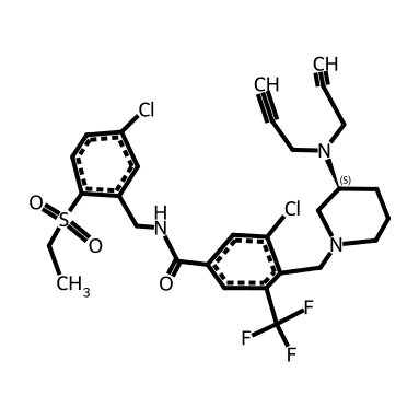 C#CCN(CC#C)[C@H]1CCCN(Cc2c(Cl)cc(C(=O)NCc3cc(Cl)ccc3S(=O)(=O)CC)cc2C(F)(F)F)C1